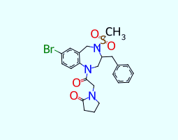 CS(=O)(=O)N1Cc2cc(Br)ccc2N(C(=O)CN2CCCC2=O)CC1Cc1ccccc1